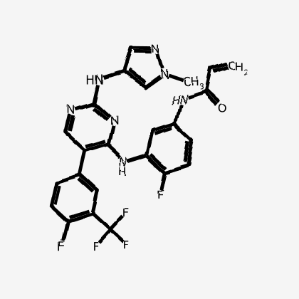 C=CC(=O)Nc1ccc(F)c(Nc2nc(Nc3cnn(C)c3)ncc2-c2ccc(F)c(C(F)(F)F)c2)c1